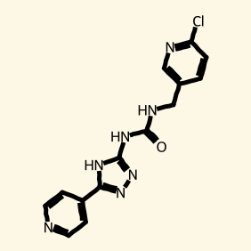 O=C(NCc1ccc(Cl)nc1)Nc1nnc(-c2ccncc2)[nH]1